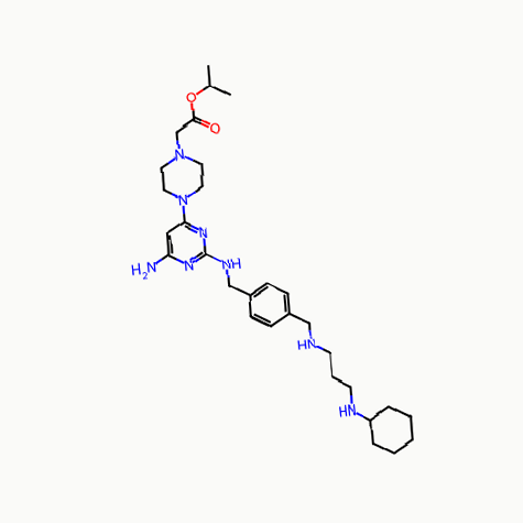 CC(C)OC(=O)CN1CCN(c2cc(N)nc(NCc3ccc(CNCCCNC4CCCCC4)cc3)n2)CC1